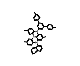 Cc1ccc(-c2cc(-c3ccc(C)cc3)cc(N3c4ccc(C)cc4B4c5cc(C)ccc5N(c5cccc6ccccc56)c5cc(C)cc3c54)c2)cc1